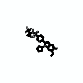 CCc1cc2c(cc1F)cc(-c1ccc(S(=O)(=O)NC3(C(F)(F)F)CC3)cn1)n2C1CCCC1